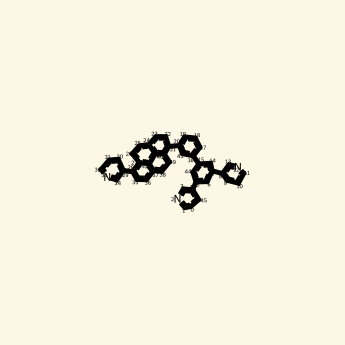 c1cncc(-c2cc(-c3cccnc3)cc(-c3cccc(-c4ccc5ccc6c(-c7cccnc7)ccc7ccc4c5c76)c3)c2)c1